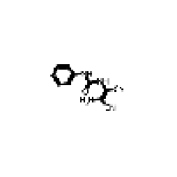 N#CC(N)=C(C#N)NC(=O)Nc1ccccc1